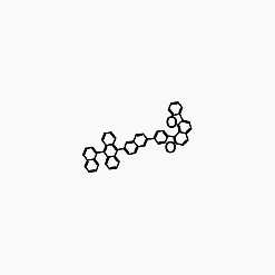 c1ccc2c(-c3c4ccccc4c(-c4ccc5cc(-c6ccc7c(c6)oc6ccc8ccc9c%10ccccc%10oc9c8c67)ccc5c4)c4ccccc34)cccc2c1